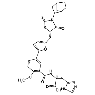 COc1ccc(-c2ccc(C=C3SC(=S)N(C4CC5CCC4C5)C3=O)o2)cc1C(=O)N[C@@H](Cc1cnc[nH]1)C(=O)O